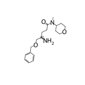 CN(C(=O)CC[C@@H](N)COCc1ccccc1)C1CCOCC1